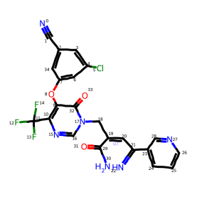 N#Cc1cc(Cl)cc(Oc2c(C(F)(F)F)ncn(C/C(=C/C(=N)c3cccnc3)C(N)=O)c2=O)c1